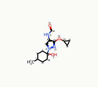 CC1CCC(O)(n2cc(NC=O)c(OC3CC3)n2)CC1